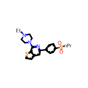 CCCS(=O)(=O)c1ccc(-c2cc3ccsc3c(N3CCN(CC)CC3)n2)cc1